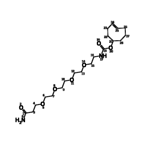 NC(=O)CCOCCOCCOCCOCCNC(=O)OC1CC/C=C/CCC1